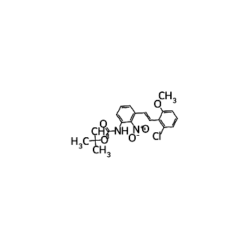 COc1cccc(Cl)c1C=Cc1cccc(NC(=O)OC(C)(C)C)c1[N+](=O)[O-]